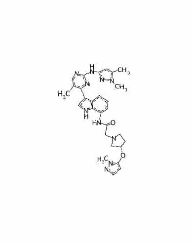 Cc1cnc(Nc2cc(C)n(C)n2)nc1-c1c[nH]c2c(NC(=O)CN3CCC(Oc4ccnn4C)C3)cccc12